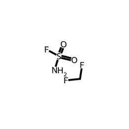 FCF.NS(=O)(=O)F